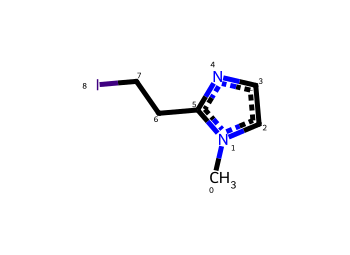 Cn1ccnc1CCI